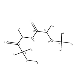 CCC(C)(C)C(=O)C(C)OC(=O)C(C)OC(C)(C)C